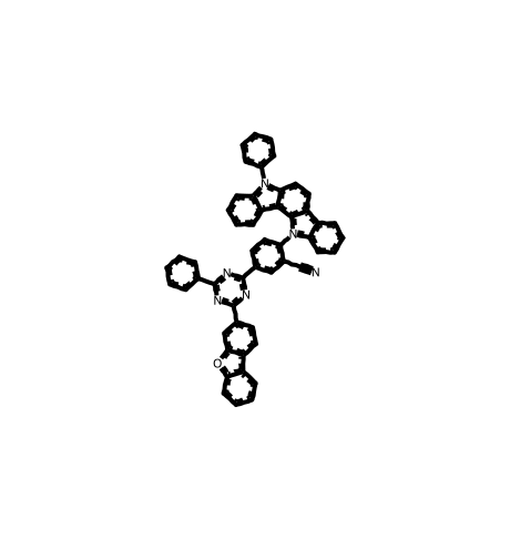 N#Cc1cc(-c2nc(-c3ccccc3)nc(-c3ccc4c(c3)oc3ccccc34)n2)ccc1-n1c2ccccc2c2ccc3c(c4ccccc4n3-c3ccccc3)c21